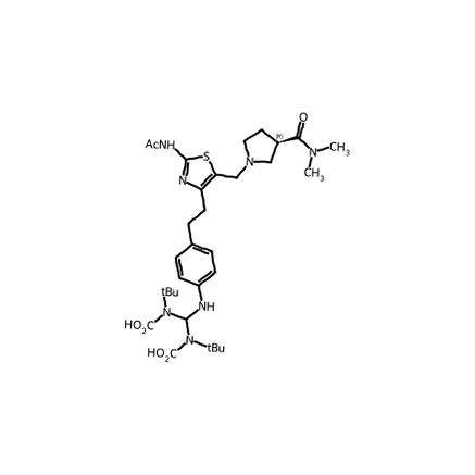 CC(=O)Nc1nc(CCc2ccc(NC(N(C(=O)O)C(C)(C)C)N(C(=O)O)C(C)(C)C)cc2)c(CN2CC[C@@H](C(=O)N(C)C)C2)s1